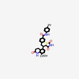 COc1ccc(C(Cc2ccc(C(=O)Nc3ccc(C(C)C)cc3)cc2)C2SC(=O)NC2=O)c2c1NC(=O)CC2